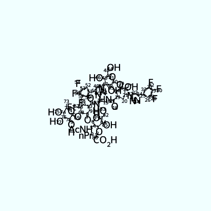 CCC[C@H](OC1C(NC(C)=O)[C@H](O[C@@H]2CC(C(=O)NCCNC(=O)C3CC(n4cc(-c5cc(F)c(F)c(F)c5)nn4)C(O)[C@H](O[C@@H]4OC(CO)[C@H](O)C(n5cc(-c6cc(F)c(F)c(F)c6)nn5)C4O)C3)CC(CC)C2O[C@@H]2OC(C)[C@@H](O)C(O)C2O)OC(CO)[C@@H]1O)C(=O)O